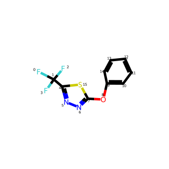 FC(F)(F)c1nnc(Oc2cc[c]cc2)s1